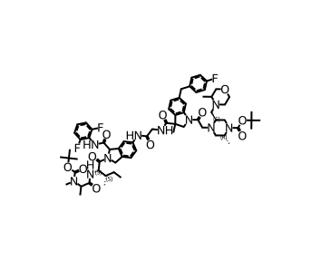 CC[C@H](C)[C@H](NC(=O)C(C)N(C)C(=O)OC(C)(C)C)C(=O)N1Cc2ccc(NC(=O)CNC(=O)C3(C)CN(C(=O)CN4C[C@@H](C)N(C(=O)OC(C)(C)C)C[C@@H]4CN4CCOCC4C)c4cc(Cc5ccc(F)cc5)ccc43)cc2C1C(=O)Nc1c(F)cccc1F